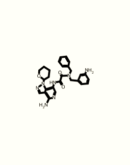 Nc1cccc(CN(Cc2ccccc2)C(=O)C(=O)Nc2cnc(N)c3cnn(C4CCCCO4)c23)c1